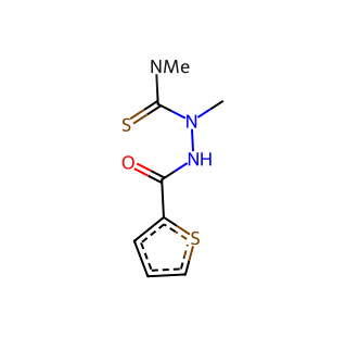 CNC(=S)N(C)NC(=O)c1cccs1